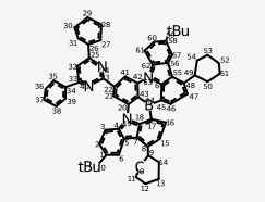 CC(C)(C)c1ccc2c(c1)c1c(C3CCCCC3)ccc3c1n2-c1cc(-c2nc(-c4ccccc4)cc(-c4ccccc4)n2)cc2c1B3c1ccc(C3CCCCC3)c3c4cc(C(C)(C)C)ccc4n-2c13